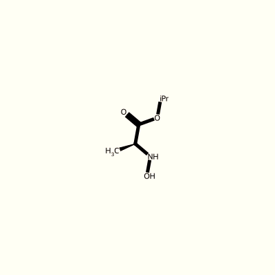 CC(C)OC(=O)[C@H](C)NO